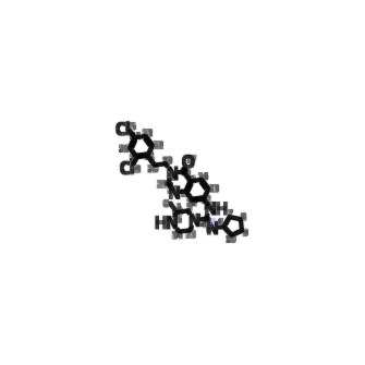 C[C@H]1CN(/C(=N/C2CCCC2)Nc2ccc3c(=O)n(CCc4ccc(Cl)cc4Cl)cnc3c2)CCN1